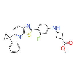 COC(=O)C1CC(Nc2ccc(-c3nc4ccc(C5(c6ccccc6)CC5)nc4s3)c(F)c2)C1